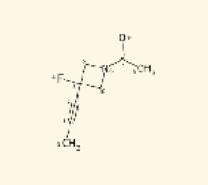 CC#CC1(F)CN(C(C)=O)C1